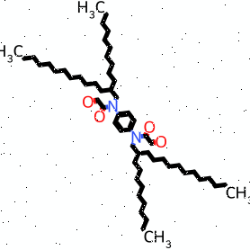 CCCCCCCCCCCCC(CCCCCCCCCC)CN(C(=O)C=O)c1ccc(N(CC(CCCCCCCCCC)CCCCCCCCCCCC)C(=O)C=O)cc1